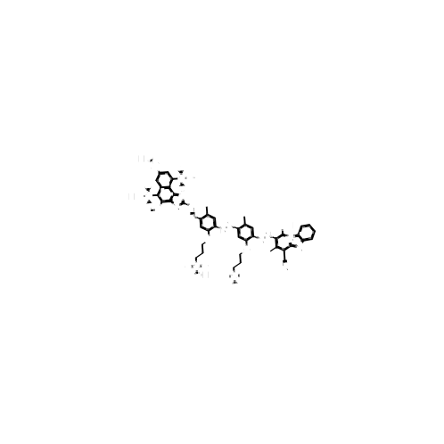 COc1c(S(=O)(=O)O)c2cc(S(=O)(=O)O)cc(S(=O)(=O)O)c2c2sc(N=Nc3cc(SCCCS(=O)(=O)O)c(N=Nc4cc(OCCCS(=O)(=O)O)c(N=Nc5c(C)c(C#N)c6nc7ccccc7n6c5O)cc4C)cc3C)nc12